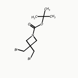 CC(C)(C)OC(=O)N1CC(CBr)(CBr)C1